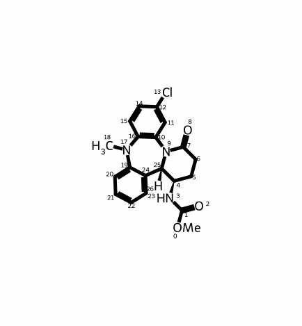 COC(=O)N[C@@H]1CCC(=O)N2c3cc(Cl)ccc3N(C)c3ccccc3[C@@H]12